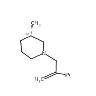 C=C(CN1CCC[C@H](C)C1)C(C)C